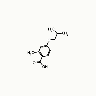 Cc1cc(OCC(C)C)ccc1C(=O)O